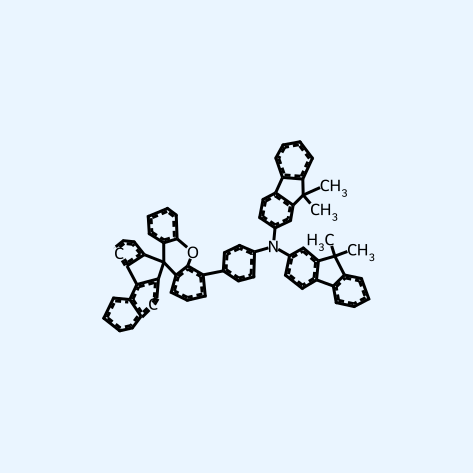 CC1(C)c2ccccc2-c2ccc(N(c3ccc(-c4cccc5c4Oc4ccccc4C54c5ccccc5-c5c4ccc4ccccc54)cc3)c3ccc4c(c3)C(C)(C)c3ccccc3-4)cc21